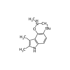 Cc1[nH]c2ccc(C(C)(C)C)c(O[SiH](C)C)c2c1C